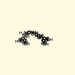 Cn1c(C(=O)Nc2ccc(S(=O)(=O)O)c3cc(S(=O)(=O)O)ccc23)cc2cc(NC(=O)Nc3ccc4c(c3)cc(C(=O)Nc3ccc(S(=O)(=O)O)c5cc(S(=O)(=O)O)ccc35)n4C)ccc21